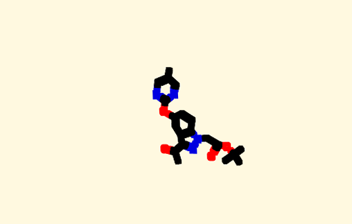 CC(=O)c1nn(CC(=O)OC(C)(C)C)c2ccc(Oc3ncc(C)cn3)cc12